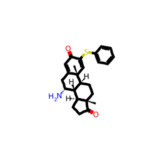 C[C@]12C=C(Sc3ccccc3)C(=O)C=C1C[C@@H](N)[C@@H]1[C@@H]2CC[C@]2(C)C(=O)CC[C@@H]12